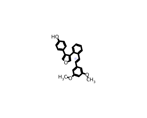 COc1cc(/C=C/c2ccccc2-c2cocc2-c2ccc(O)cc2)cc(OC)c1